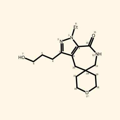 CCn1nc(CCCO)c2c1C(=O)NCC1(CCOCC1)C2